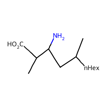 CCCCCCC(C)CC(N)C(C)C(=O)O